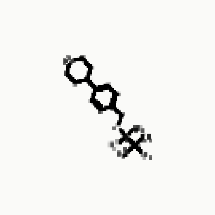 CC(C)(C)[Si](C)(C)OCc1ccc(C2CCNCC2)cc1